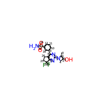 C[C@H]1[C@H](O)CN1c1nc(-c2cccc(S(N)(=O)=O)c2)c2c(n1)C(F)(F)CC2